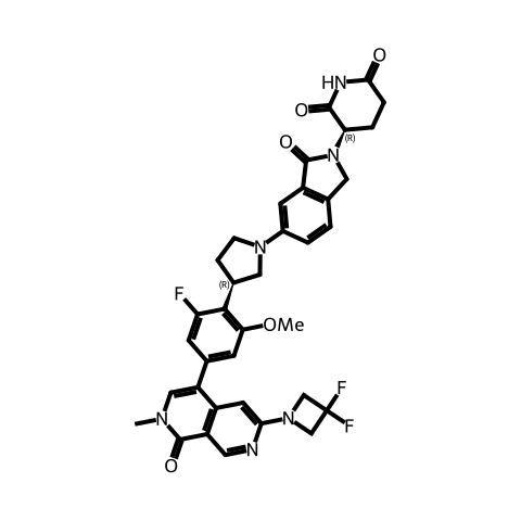 COc1cc(-c2cn(C)c(=O)c3cnc(N4CC(F)(F)C4)cc23)cc(F)c1[C@H]1CCN(c2ccc3c(c2)C(=O)N([C@@H]2CCC(=O)NC2=O)C3)C1